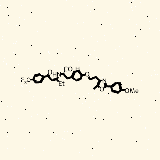 CC/C(=C/C(=O)c1ccc(C(F)(F)F)cc1)N[C@@H](Cc1ccc(OCCc2nc(-c3ccc(OC)cc3)oc2C)cc1)C(=O)O